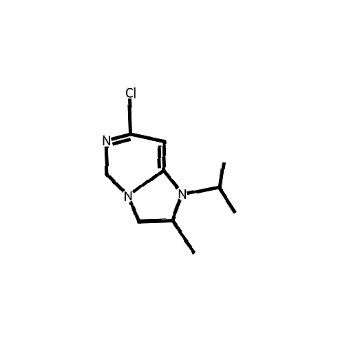 CC(C)N1C2=CC(Cl)=NCN2CC1C